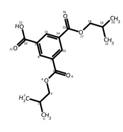 CC(C)COC(=O)c1cc(C(=O)O)cc(C(=O)OCC(C)C)c1